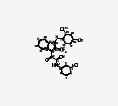 O=C(Nc1cccc(Cl)c1)C(=O)c1c(C(F)(F)F)n(Cc2ccc(Cl)cc2Cl)c2ccccc12